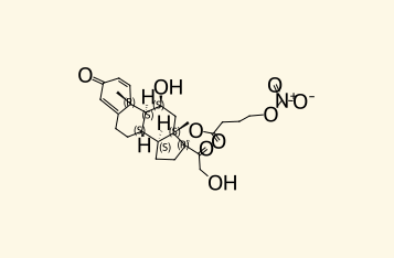 C[C@]12C=CC(=O)C=C1CC[C@@H]1[C@@H]2[C@@H](O)C[C@@]2(C)[C@H]1CC[C@]2(OC(=O)CCCO[N+](=O)[O-])C(=O)CO